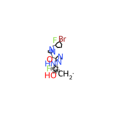 [CH2][C@@H]1C[C@@H](Nc2ncncc2C(=O)c2ccn(Cc3cccc(Br)c3F)n2)[C@@H](F)[C@@H]1O